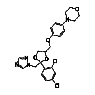 Clc1ccc(C2(Cn3cncn3)OCC(COc3ccc(N4CCOCC4)cc3)O2)c(Cl)c1